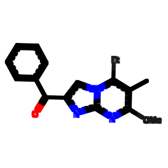 CCc1c(C)c(OC)nc2nc(C(=O)c3ccccc3)cn12